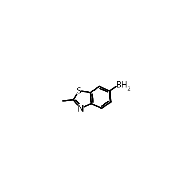 Bc1ccc2nc(C)sc2c1